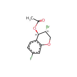 CC(=O)O[C@@H]1c2ccc(F)cc2OC[C@H]1Br